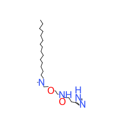 CCCCCCCCCCCCCCCCN(C)CCOCCNC(=O)CCc1cnc[nH]1